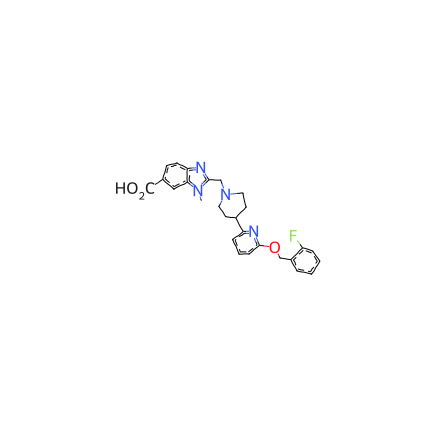 Cn1c(CN2CCC(c3cccc(OCc4ccccc4F)n3)CC2)nc2ccc(C(=O)O)cc21